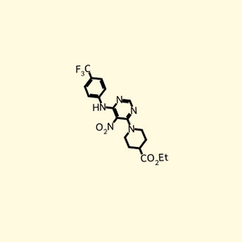 CCOC(=O)C1CCN(c2ncnc(Nc3ccc(C(F)(F)F)cc3)c2[N+](=O)[O-])CC1